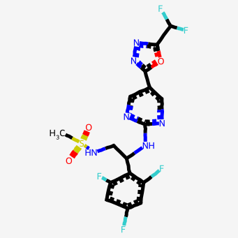 CS(=O)(=O)NCC(Nc1ncc(-c2nnc(C(F)F)o2)cn1)c1c(F)cc(F)cc1F